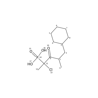 CC(CC1CCCCC1)C(=O)C(C)(Cl)P(=O)(O)O